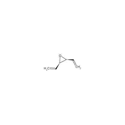 C=C[C@@H]1O[C@@H]1C=C